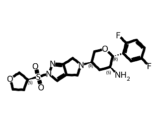 N[C@H]1C[C@@H](N2Cc3cn(S(=O)(=O)[C@H]4CCOC4)nc3C2)CO[C@@H]1c1cc(F)ccc1F